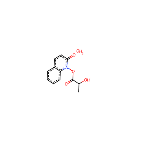 CC(O)C(=O)On1c(=O)ccc2ccccc21.O